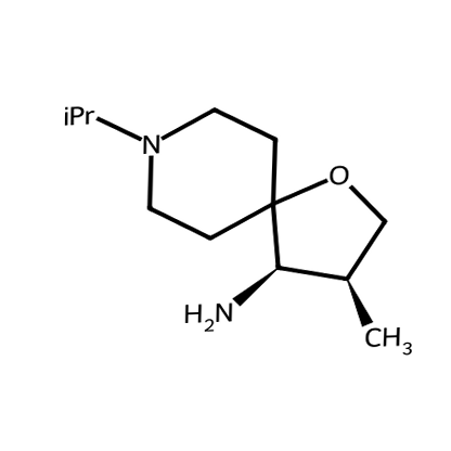 CC(C)N1CCC2(CC1)OC[C@@H](C)[C@H]2N